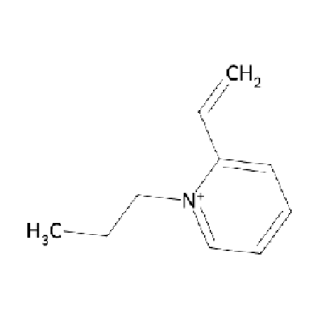 C=Cc1cccc[n+]1CCC